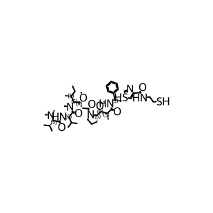 CC[C@H](C)[C@@H]([C@@H](CC(=O)N1CCC[C@H]1[C@H](OC)[C@H](C)C(=O)N[C@H](C[SH]1C=NC(C(=O)NCCS)=C1)c1ccccc1)OC)N(C)C(=O)[C@@H](NC(=O)[C@H](C(C)C)N(C)C)C(C)C